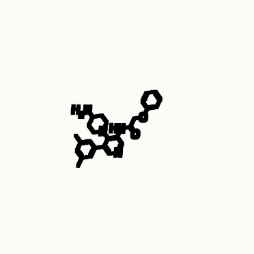 Cc1cc(C)cc(-c2cncc(NC(=O)COc3ccccc3)c2N2CCC(N)CC2)c1